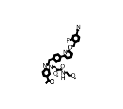 COCCNC(=O)[C@H](Cn1c(Cc2ccc(-c3cccc(OCc4ccc(C#N)cc4F)n3)cc2)nc2ccc(C(C)=O)cc21)OC